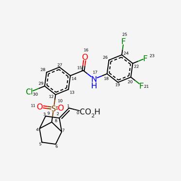 O=C(O)/C=C1/CC2CCC1C2S(=O)(=O)c1cc(C(=O)Nc2cc(F)c(F)c(F)c2)ccc1Cl